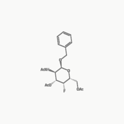 CC(=O)N[C@H]1[C@@H](OCc2ccccc2)O[C@H](COC(C)=O)[C@H](F)[C@@H]1OC(C)=O